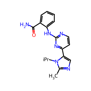 Cc1ncc(-c2ccnc(Nc3ccccc3C(N)=O)n2)n1C(C)C